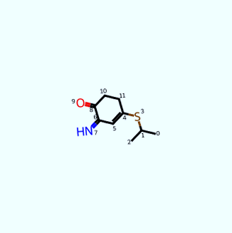 CC(C)SC1=CC(=N)C(=O)CC1